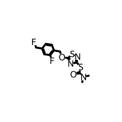 CN(C)C(=O)Sc1nsc(OCc2ccc(CF)cc2F)n1